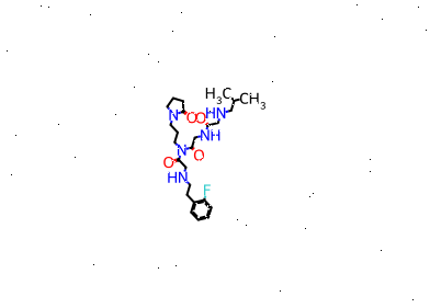 CC(C)CNCC(=O)NCC(=O)N(CCCN1CCCC1=O)C(=O)CNCCc1ccccc1F